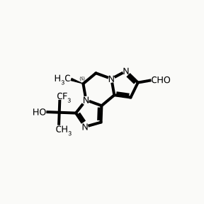 C[C@H]1Cn2nc(C=O)cc2-c2cnc(C(C)(O)C(F)(F)F)n21